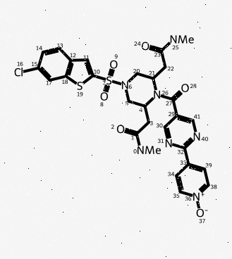 CNC(=O)CC1CN(S(=O)(=O)c2cc3ccc(Cl)cc3s2)CC(CC(=O)NC)N1C(=O)c1cnc(-c2cc[n+]([O-])cc2)nc1